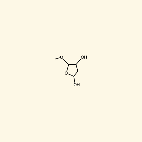 COC1OC(O)CC1O